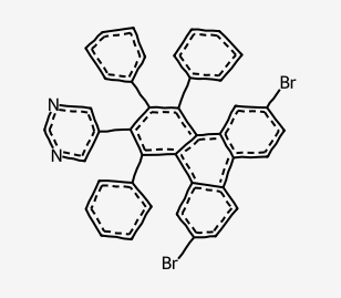 Brc1ccc2c3ccc(Br)cc3c3c(-c4ccccc4)c(-c4cncnc4)c(-c4ccccc4)c(-c4ccccc4)c3c2c1